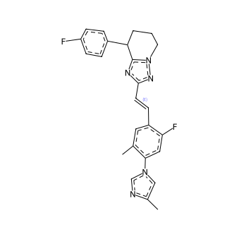 Cc1cn(-c2cc(F)c(/C=C/c3nc4n(n3)CCCC4c3ccc(F)cc3)cc2C)cn1